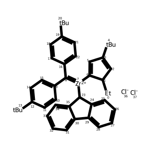 CCC1C=C(C(C)(C)C)C=[C]1[Zr+2](=[C](c1ccc(C(C)(C)C)cc1)c1ccc(C(C)(C)C)cc1)[CH]1c2ccccc2-c2ccccc21.[Cl-].[Cl-]